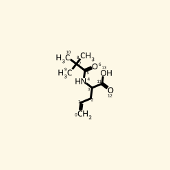 C=CCC(NC(=O)C(C)(C)C)C(=O)O